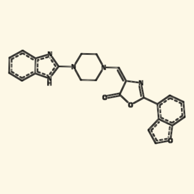 O=C1OC(c2cccc3occc23)=N/C1=C/N1CCN(c2nc3ccccc3[nH]2)CC1